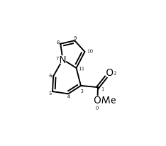 COC(=O)c1cccn2cccc12